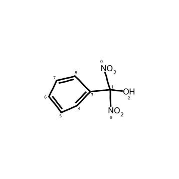 O=[N+]([O-])C(O)(c1ccccc1)[N+](=O)[O-]